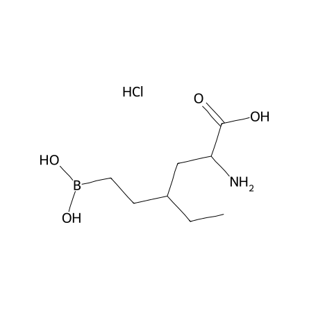 CCC(CCB(O)O)CC(N)C(=O)O.Cl